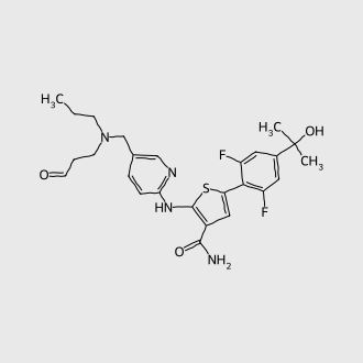 CCCN(CCC=O)Cc1ccc(Nc2sc(-c3c(F)cc(C(C)(C)O)cc3F)cc2C(N)=O)nc1